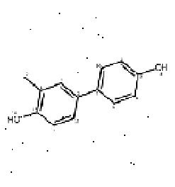 Cc1cc(-c2ccc(O)cc2)ccc1O